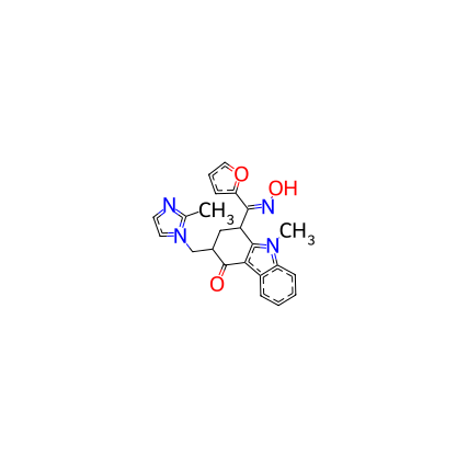 Cc1nccn1CC1CC(C(=NO)c2ccco2)c2c(c3ccccc3n2C)C1=O